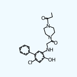 CCC(=O)N1CCN(C(=O)CNc2cc(-c3ccccc3)c(Cl)cc2O)CC1